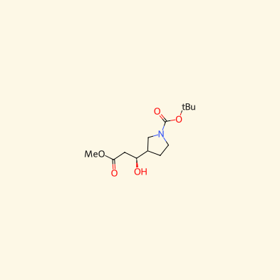 COC(=O)C[C@H](O)C1CCN(C(=O)OC(C)(C)C)C1